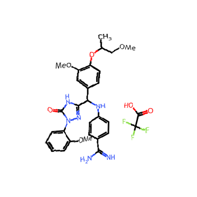 COCC(C)Oc1ccc(C(Nc2ccc(C(=N)N)cc2)c2nn(-c3ccccc3OC)c(=O)[nH]2)cc1OC.O=C(O)C(F)(F)F